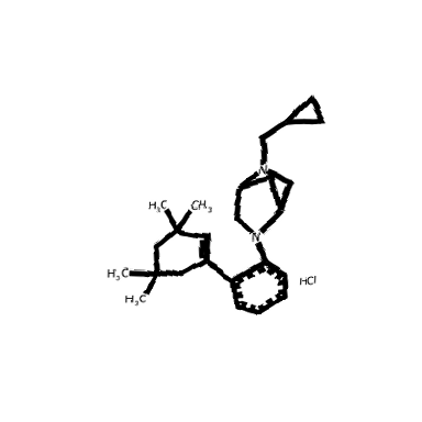 CC1(C)C=C(c2ccccc2N2CC3CC2CN3CC2CC2)CC(C)(C)C1.Cl